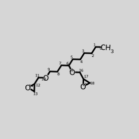 CCCCCCC(CCCOCC1CO1)OCC1CO1